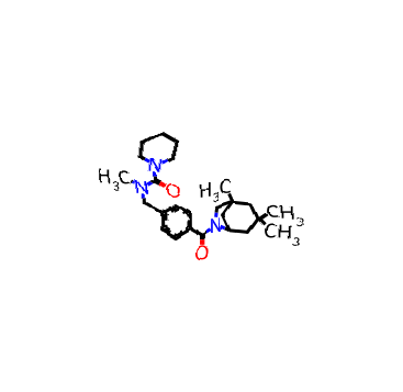 CN(Cc1ccc(C(=O)N2CC3(C)CC2CC(C)(C)C3)cc1)C(=O)N1CCCCC1